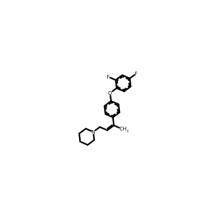 C/C(=C/CN1CCCCC1)c1ccc(Oc2ccc(F)cc2F)cc1